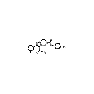 N#Cc1ccc(NC(=O)N2CCn3nc(-c4cccc(F)c4)c(C(N)=O)c3C2)cc1